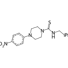 CC(C)CNC(=S)N1CCN(c2ccc([N+](=O)[O-])cc2)CC1